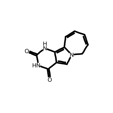 O=c1[nH]c(=O)c2cn3c(c2[nH]1)C=CC=CC3